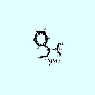 CN[C@H](C)[C@@H](c1ccccc1)N(C)C